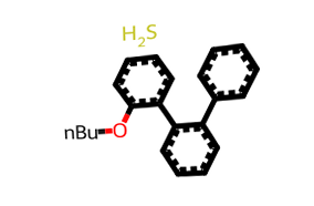 CCCCOc1ccccc1-c1ccccc1-c1ccccc1.S